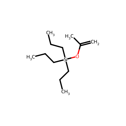 C=C(C)O[Si](CCC)(CCC)CCC